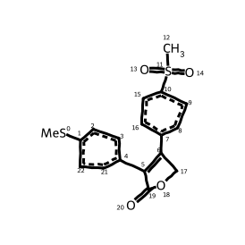 CSc1ccc(C2=C(c3ccc(S(C)(=O)=O)cc3)COC2=O)cc1